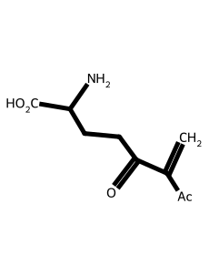 C=C(C(C)=O)C(=O)CCC(N)C(=O)O